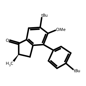 COc1c(C(C)(C)C)cc2c(c1-c1ccc(C(C)(C)C)cc1)C[C@@H](C)C2=O